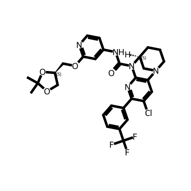 CC1(C)OC[C@H](COc2cc(NC(=O)N3c4nc(-c5cccc(C(F)(F)F)c5)c(Cl)cc4N4CCC[C@H]3C4)ccn2)O1